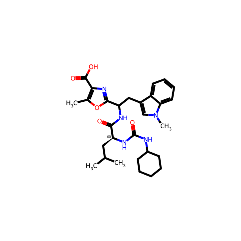 Cc1oc(C(Cc2cn(C)c3ccccc23)NC(=O)[C@H](CC(C)C)NC(=O)NC2CCCCC2)nc1C(=O)O